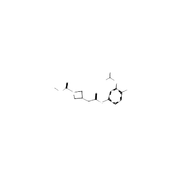 CC(C)(C)OC(=O)N1CC(CC(=O)Nc2ccc(F)c(OC(F)F)c2)C1